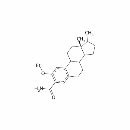 CCOc1cc2c(cc1C(N)=O)CCC1C2CC[C@]2(C)C(C)CCC12